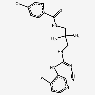 CC(C)(CNC(=O)c1ccc(Cl)cc1)CNC(=NC#N)Nc1cnccc1Br